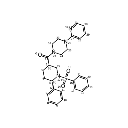 O=C([C@@H]1CC[C@H](c2ccccc2)N(S(=O)(=O)c2ccccc2)C1)N1CCN(c2ccccn2)CC1